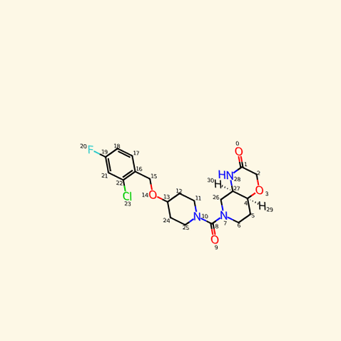 O=C1CO[C@H]2CCN(C(=O)N3CCC(OCc4ccc(F)cc4Cl)CC3)C[C@H]2N1